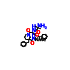 CNNC(=O)C1(Cc2ccccc2)CCCN(C(=O)C(COCc2ccccc2)NC(=O)C(C)(C)N)C1